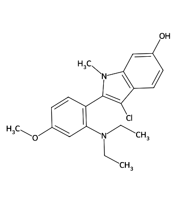 CCN(CC)c1cc(OC)ccc1-c1c(Cl)c2ccc(O)cc2n1C